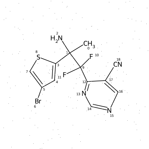 CC(N)(c1cc(Br)cs1)C(F)(F)c1ncncc1C#N